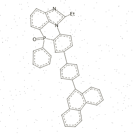 CCc1nc2cccc3c2n1-c1ccc(-c2ccc(-c4cc5ccccc5c5ccccc45)cc2)cc1P3(=O)c1ccccc1